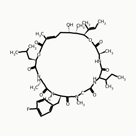 C/C=C(\C)[C@H]1OC(=O)[C@@H](C)NC(=O)C(C(C)CC)NC(=O)CN(C)C(=O)[C@@H](Cc2ccc(F)cc2)N(C)C(=O)[C@H](C)NC(=O)[C@@H](CC(C)C)OC(=O)/C(C)=C/C[C@H](O)[C@@H]1C